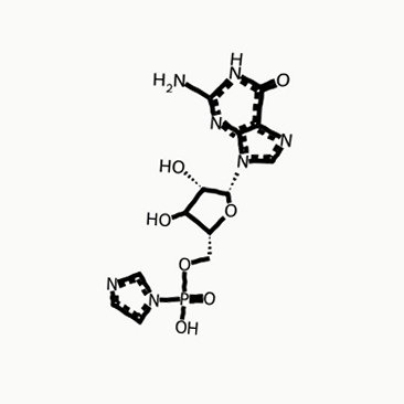 Nc1nc2c(ncn2[C@@H]2O[C@H](COP(=O)(O)n3ccnc3)C(O)[C@@H]2O)c(=O)[nH]1